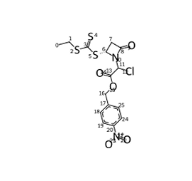 CCSC(=S)S[C@@H]1CC(=O)N1C(Cl)C(=O)OCc1ccc([N+](=O)[O-])cc1